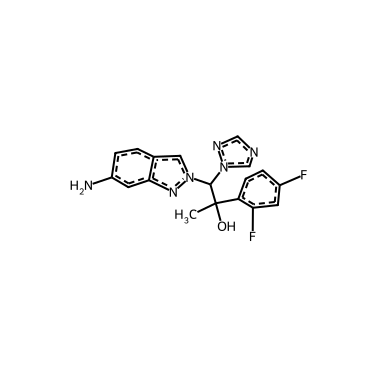 CC(O)(c1ccc(F)cc1F)C(n1cncn1)n1cc2ccc(N)cc2n1